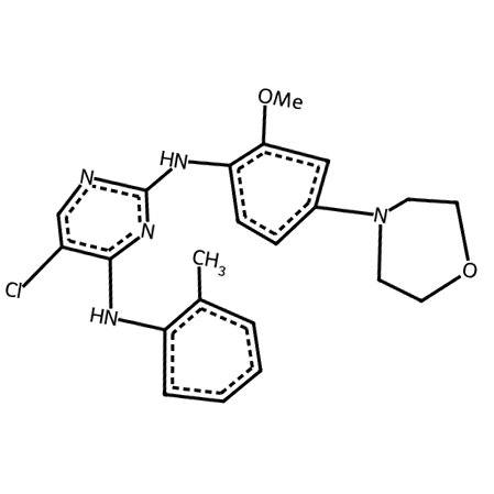 COc1cc(N2CCOCC2)ccc1Nc1ncc(Cl)c(Nc2ccccc2C)n1